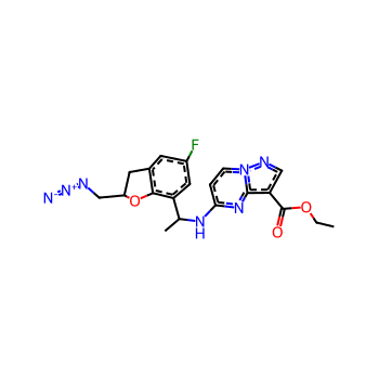 CCOC(=O)c1cnn2ccc(NC(C)c3cc(F)cc4c3OC(CN=[N+]=[N-])C4)nc12